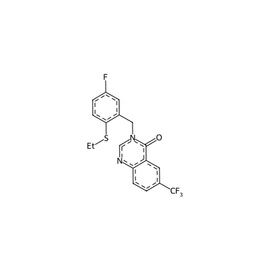 CCSc1ccc(F)cc1Cn1cnc2ccc(C(F)(F)F)cc2c1=O